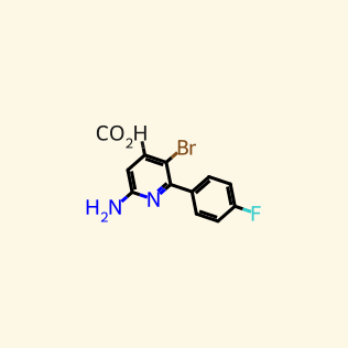 Nc1cc(C(=O)O)c(Br)c(-c2ccc(F)cc2)n1